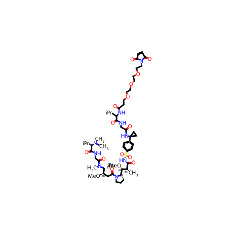 CC[C@H](C)C([C@@H](CC(=O)N1CCC[C@H]1[C@H](OC)[C@@H](C)C(=O)NS(=O)(=O)c1ccc(C2(NC(=O)CNC(=O)C(NC(=O)CCOCCOCCOCCN3C(=O)C=CC3=O)C(C)C)CC2)cc1)OC)N(C)C(=O)CNC(=O)C(C(C)C)N(C)C